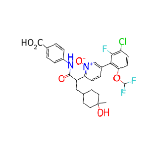 CC1(O)CCC(CC(C(=O)Nc2ccc(C(=O)O)cc2)c2ccc(-c3c(OC(F)F)ccc(Cl)c3F)c[n+]2[O-])CC1